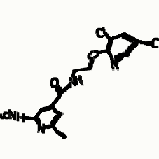 CC(=O)Nc1cc(C(=O)NCCOc2ncc(C(F)(F)F)cc2Cl)cc(C)n1